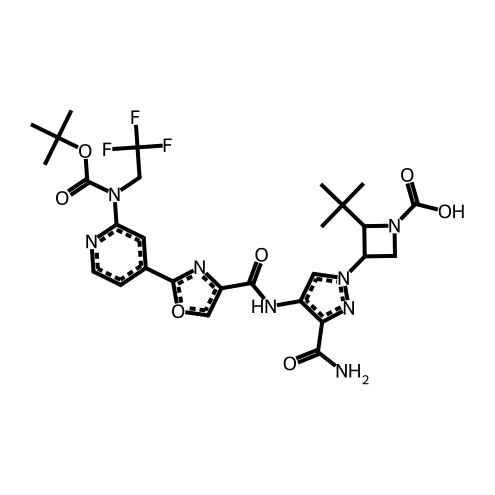 CC(C)(C)OC(=O)N(CC(F)(F)F)c1cc(-c2nc(C(=O)Nc3cn(C4CN(C(=O)O)C4C(C)(C)C)nc3C(N)=O)co2)ccn1